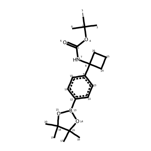 CC(C)(I)OC(=O)NC1(c2ccc(B3OC(C)(C)C(C)(C)O3)cc2)CCC1